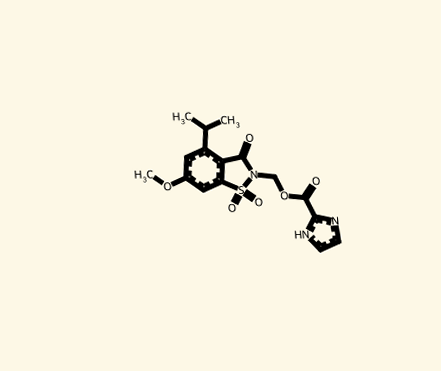 COc1cc(C(C)C)c2c(c1)S(=O)(=O)N(COC(=O)c1ncc[nH]1)C2=O